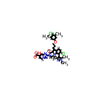 Cc1cc(OCCCc2c3n(c4c(-c5c(C)nn(C)c5C)c(Cl)ccc24)C(C)CN(c2nc4cc(C(=O)O)ccn4n2)C3=O)cc(C)c1Cl